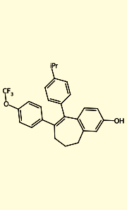 CC(C)c1ccc(C2=C(c3ccc(OC(F)(F)F)cc3)CCCc3cc(O)ccc32)cc1